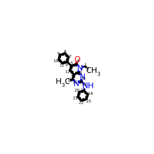 CCn1c(=O)c(-c2ccccc2)cc2c(C)nc(Nc3ccccc3)nc21